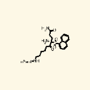 CCCCCNCCCCCC(=O)[C@@](N)(CCC(N)=O)S(=O)(=O)c1cccc2ccccc12